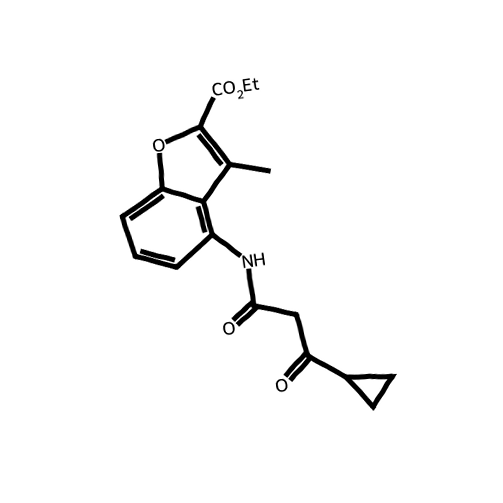 CCOC(=O)c1oc2cccc(NC(=O)CC(=O)C3CC3)c2c1C